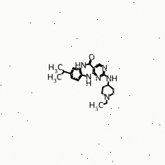 CCN1CCC(Nc2ncc3c(n2)Nc2ccc(C(C)C)cc2NC3=O)CC1